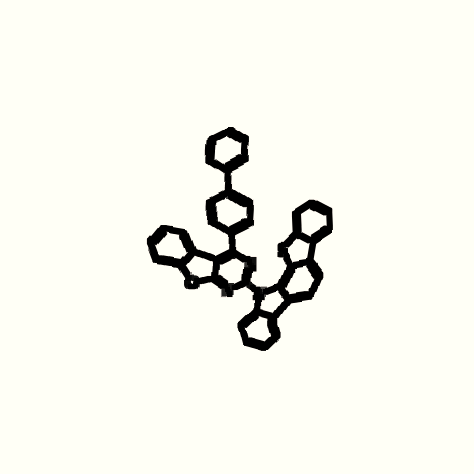 c1ccc(-c2ccc(-c3nc(-n4c5ccccc5c5ccc6c7ccccc7sc6c54)nc4oc5ccccc5c34)cc2)cc1